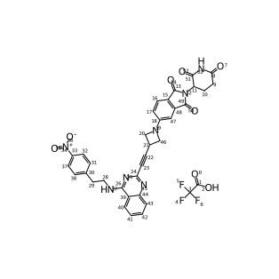 O=C(O)C(F)(F)F.O=C1CCC(N2C(=O)c3ccc(N4CC(C#Cc5nc(NCCc6ccc([N+](=O)[O-])cc6)c6ccccc6n5)C4)cc3C2=O)C(=O)N1